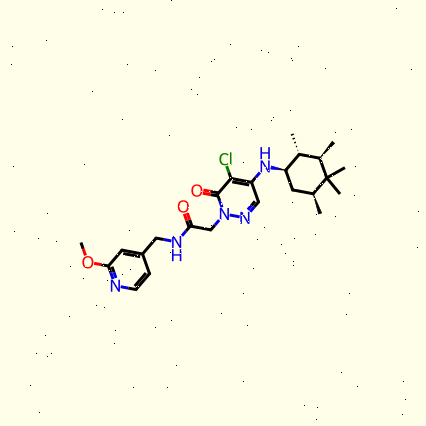 COc1cc(CNC(=O)Cn2ncc(N[C@@H]3C[C@H](C)C(C)(C)[C@H](C)[C@H]3C)c(Cl)c2=O)ccn1